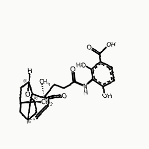 C[C@@]12C[C@]34C=CC(=O)[C@](C)(CCC(=O)Nc5c(O)ccc(C(=O)O)c5O)C3[C@@H](CC1C4)O2